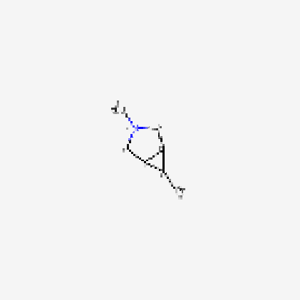 CC(C)C1C2CN(C(C)(C)C)CC21